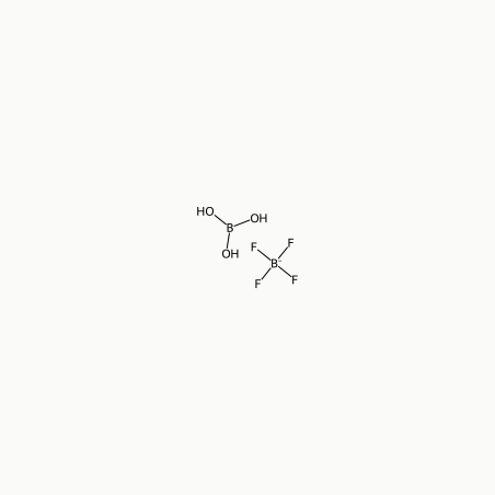 F[B-](F)(F)F.OB(O)O